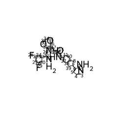 Nc1ncccc1C1Cc2ccc(NC(=O)CCC3(NC[C@H](N)c4cc(F)cc(F)c4)COCCOC3)cc2C1